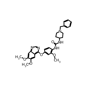 COc1cc(Oc2ncnc3cc(OC)c(OC)cc23)ccc1NC(=O)NC1CCN(Cc2ccccc2)CC1